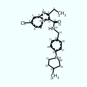 CCc1nc2cc(Cl)ccn2c1C(=O)NCc1ccc(N2CCC(C)CC2)cc1